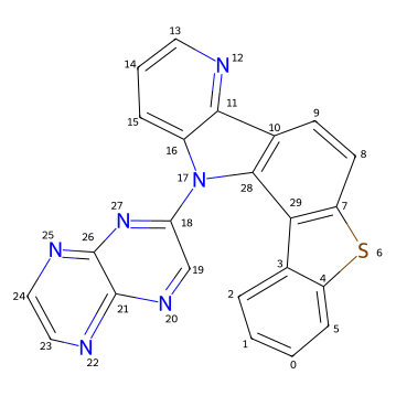 c1ccc2c(c1)sc1ccc3c4ncccc4n(-c4cnc5nccnc5n4)c3c12